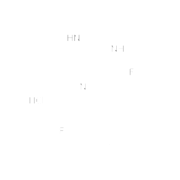 Cl.Fc1cc(F)c(N=C2NCCN2)c(F)c1